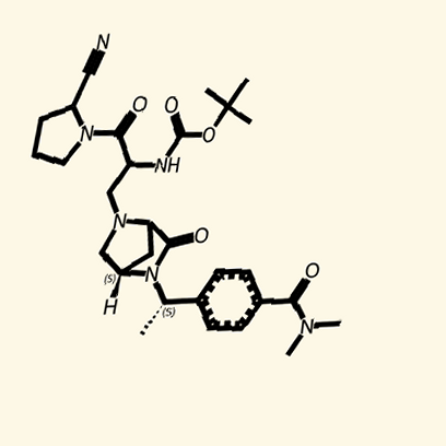 C[C@@H](c1ccc(C(=O)N(C)C)cc1)N1C(=O)C2C[C@H]1CN2CC(NC(=O)OC(C)(C)C)C(=O)N1CCCC1C#N